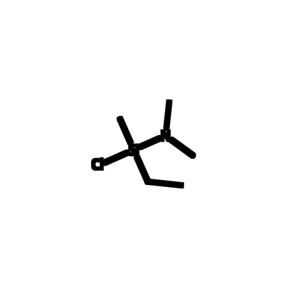 CC[Si](C)(Cl)N(C)C